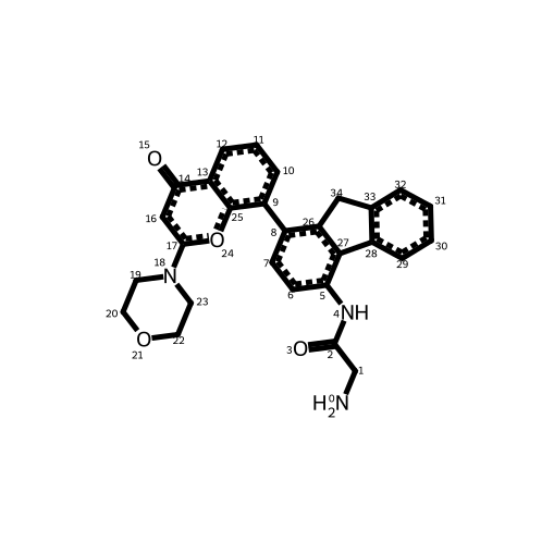 NCC(=O)Nc1ccc(-c2cccc3c(=O)cc(N4CCOCC4)oc23)c2c1-c1ccccc1C2